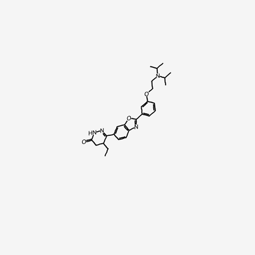 CCC1CC(=O)NN=C1c1ccc2nc(-c3cccc(OCCN(C(C)C)C(C)C)c3)oc2c1